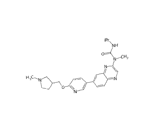 CC(C)NC(=O)N(C)c1cnc2ccc(-c3ccc(OCC4CCN(C)C4)nc3)cc2n1